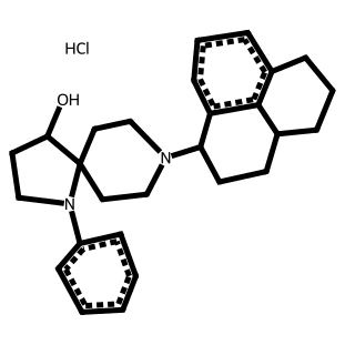 Cl.OC1CCN(c2ccccc2)C12CCN(C1CCC3CCCc4cccc1c43)CC2